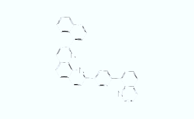 c1ccc2c(-c3ccc4ccc5ccc(-c6ccc(-c7cccc8cccnc78)cc6)nc5c4n3)cccc2c1